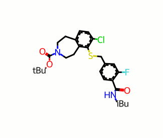 CCC(C)NC(=O)c1ccc(CSc2c(Cl)ccc3c2CCN(C(=O)OC(C)(C)C)CC3)cc1F